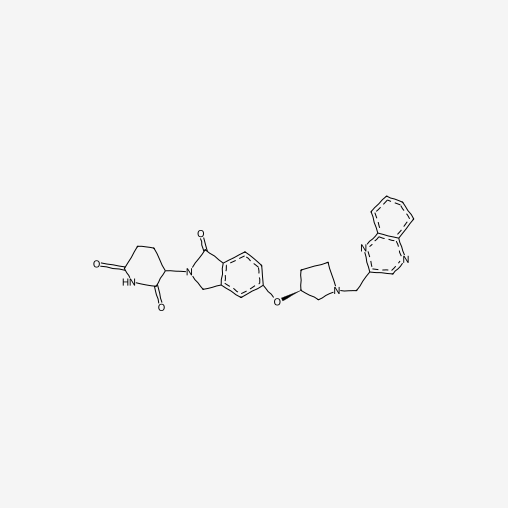 O=C1CCC(N2Cc3cc(O[C@H]4CCN(Cc5cnc6ccccc6n5)C4)ccc3C2=O)C(=O)N1